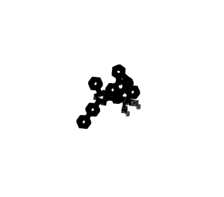 C[Si]1(C)c2ccccc2C2(c3ccccc3-n3c4ccccc4c4cccc2c43)c2cc(-c3nc(-c4ccccc4)nc(-c4ccc(-c5ccccc5)cc4)n3)ccc21